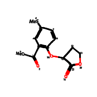 COC(=O)c1cc(SC)ccc1OC1CCOC1=O